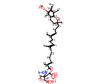 C/C(=C\CC/C(C)=C/CCC1(C)CCc2c(C)c(O)c(C)c(C)c2O1)CC/C=C(\C)C(=O)NC(CO)(CO)CO